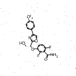 NC(=O)c1c(F)ccc(O[C@H](CO)c2nc(-c3ccc(C(F)(F)F)cc3)co2)c1F